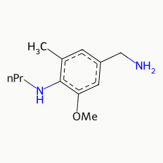 CCCNc1c(C)cc(CN)cc1OC